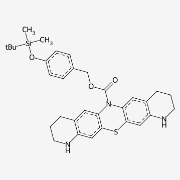 CC(C)(C)[Si](C)(C)Oc1ccc(COC(=O)N2c3cc4c(cc3Sc3cc5c(cc32)CCCN5)NCCC4)cc1